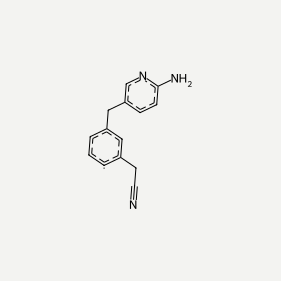 N#CCc1[c]ccc(Cc2ccc(N)nc2)c1